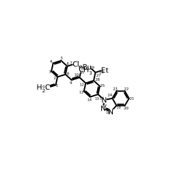 C=Cc1cccc(Cl)c1/C=C(\C)c1ccc(-n2nnc3ccccc32)cc1C(CC)CCCC